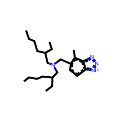 CCCCC(CC)CN(Cc1ccc2[nH]nnc2c1C)CC(CC)CCCC